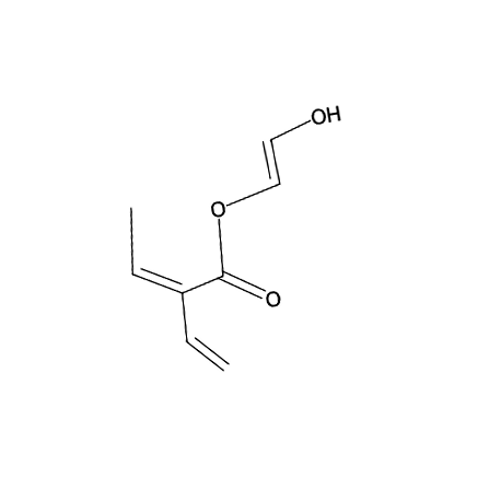 C=CC(=CC)C(=O)OC=CO